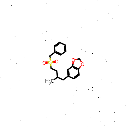 CC(CCS(=O)(=O)Cc1ccccc1)Cc1ccc2c(c1)OCO2